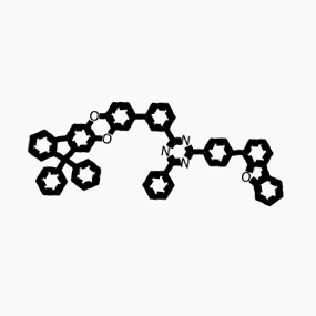 c1ccc(-c2nc(-c3ccc(-c4cccc5c4oc4ccccc45)cc3)nc(-c3cccc(-c4ccc5c(c4)Oc4cc6c(cc4O5)-c4ccccc4C6(c4ccccc4)c4ccccc4)c3)n2)cc1